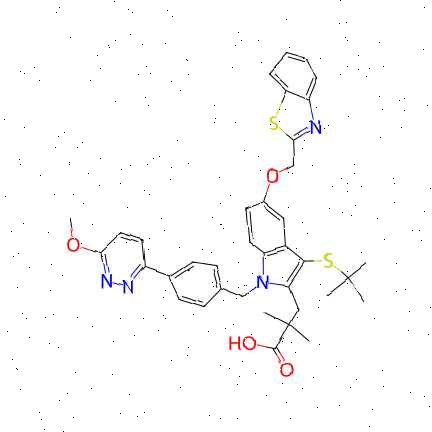 COc1ccc(-c2ccc(Cn3c(CC(C)(C)C(=O)O)c(SC(C)(C)C)c4cc(OCc5nc6ccccc6s5)ccc43)cc2)nn1